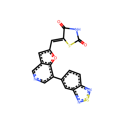 O=C1NC(=O)C(=Cc2cc3cncc(-c4ccc5nsnc5c4)c3o2)S1